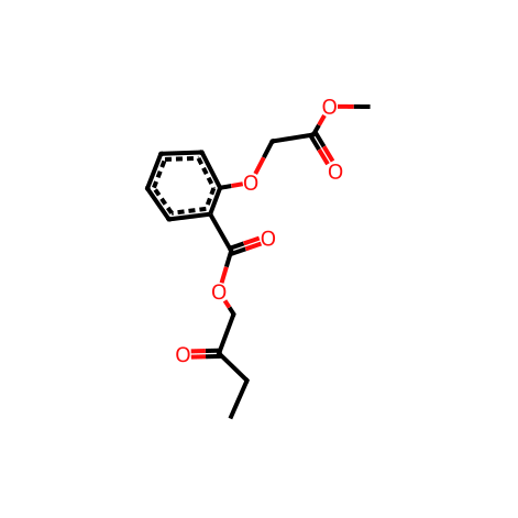 CCC(=O)COC(=O)c1ccccc1OCC(=O)OC